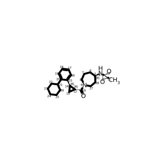 CS(=O)(=O)N[C@@H]1CCCN(C(=O)[C@@H]2C[C@H]2c2ccccc2C2CCCCC2)CC1